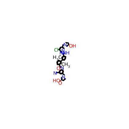 Cc1c(-c2nc3cc(CN4CC[C@@H](C(=O)O)C4)cc(C#N)c3o2)cccc1-c1cccc(C2N=C3C(Cl)=CC(CN4CCC(O)C4)=CN3N2)c1C